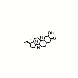 CC=C1CC[C@H]2[C@@H]3CCC4CC(=O)C(O)C[C@]4(C)[C@H]3CC[C@]12C